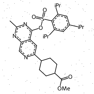 COC(=O)C1CCC(c2cc3c(OS(=O)(=O)c4c(C(C)C)cc(C(C)C)cc4C(C)C)nc(C)nc3cn2)CC1